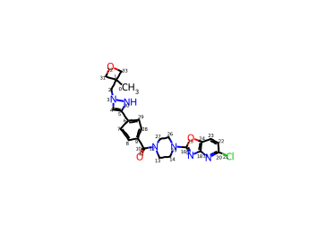 CC1(Cn2cc(-c3ccc(C(=O)N4CCN(c5nc6nc(Cl)ccc6o5)CC4)cc3)[nH]2)COC1